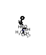 CC(C)(C)/C=C/C(NCc1ccnc(-c2ccccc2)c1)C(=O)O